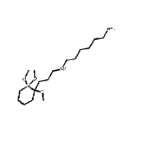 COC1(CCCNCCCCCCN)CCCC[Si]1(OC)OC